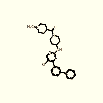 CN1CCC(C(=O)N2CCC(Nc3ncc(Cl)c(-c4cccc(-c5ccccc5)c4)n3)CC2)CC1